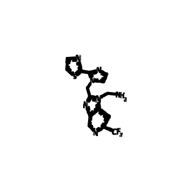 NCn1c(Cn2ccnc2-c2nccs2)nc2cnc(C(F)(F)F)cc21